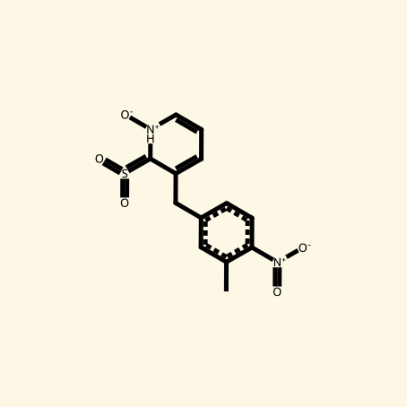 Cc1cc(CC2=CC=C[NH+]([O-])C2=S(=O)=O)ccc1[N+](=O)[O-]